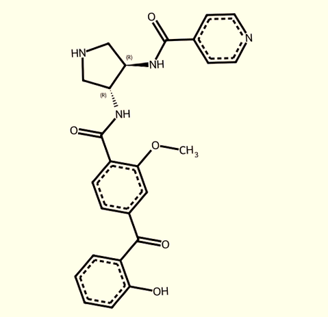 COc1cc(C(=O)c2ccccc2O)ccc1C(=O)N[C@@H]1CNC[C@H]1NC(=O)c1ccncc1